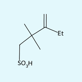 C=C(CC)C(C)(C)CS(=O)(=O)O